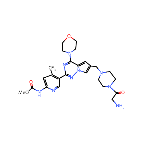 COC(=O)Nc1cc(C(F)(F)F)c(-c2nc(N3CCOCC3)c3cc(CN4CCN(C(=O)CN)CC4)cn3n2)cn1